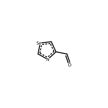 O=Cc1c[se]cn1